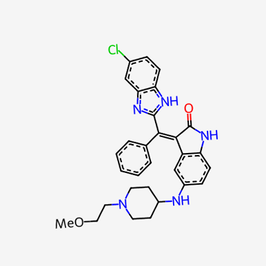 COCCN1CCC(Nc2ccc3c(c2)C(=C(c2ccccc2)c2nc4cc(Cl)ccc4[nH]2)C(=O)N3)CC1